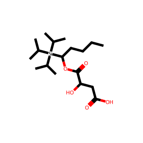 CCCCC(OC(=O)C(O)CC(=O)O)[Si](C(C)C)(C(C)C)C(C)C